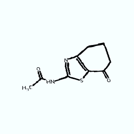 CC(=O)Nc1nc2c(s1)C(=O)CCC2